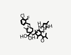 Cc1cc(Nc2nc(C[C@@]3(C(O)O)CCN(Cc4cccc(Cl)c4F)[C@H](C)C3)c(C)c(C(=O)C(C)C)c2F)n[nH]1